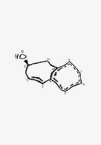 O[C@@H]1C=Cc2ccccc2C1